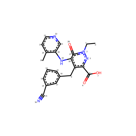 CCn1nc(C(=O)O)c(Cc2cccc(C#N)c2)c(Nc2cnccc2C)c1=O